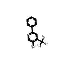 [2H]c1cnc(-c2ccccc2)cc1C([2H])([2H])[2H]